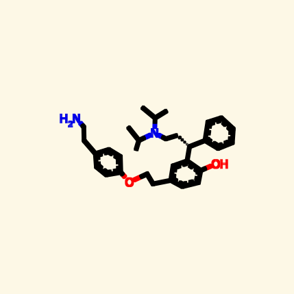 CC(C)N(CC[C@H](c1ccccc1)c1cc(CCOc2ccc(CCN)cc2)ccc1O)C(C)C